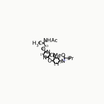 CO/C(=N\c1ccc(Oc2cnc(OCC(C)NC(C)=O)cn2)c(Cl)c1)C(C)C